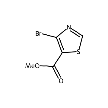 COC(=O)c1scnc1Br